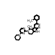 Cc1ccccc1-c1cc2c3c([nH]c2nn1)CCN(c1nccc(N2CCCCC2)n1)C3C